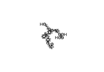 O=C(O)C(=O)O.O=C1CCCN1CCOc1ccc(Cc2c(-c3ccc(OCCN4CCCC4)c(OCCCCO)c3)sc3ccccc23)cc1